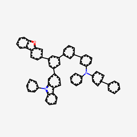 c1ccc(-c2ccc(N(c3ccccc3)c3cccc(-c4cccc(-c5cc(-c6ccc7c(c6)oc6ccccc67)cc(-c6ccc7c8ccccc8n(-c8ccccc8)c7c6)c5)c4)c3)cc2)cc1